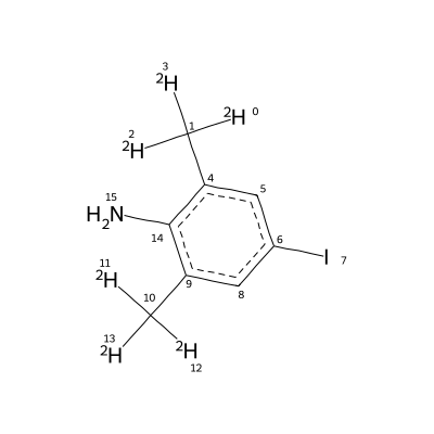 [2H]C([2H])([2H])c1cc(I)cc(C([2H])([2H])[2H])c1N